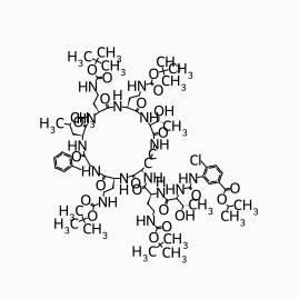 CC(C)C[C@@H]1NC(=O)[C@@H](Cc2ccccc2)NC(=O)[C@H](CCNC(=O)OC(C)(C)C)NC(=O)[C@@H](NC(=O)[C@H](CCNC(=O)OC(C)(C)C)NC(=O)[C@@H](NC(=O)Nc2cc(C(=O)OC(C)C)ccc2Cl)[C@H](C)O)CCNC(=O)[C@H]([C@@H](C)O)NC(=O)[C@H](CCNC(=O)OC(C)(C)C)NC(=O)[C@H](CCNC(=O)OC(C)(C)C)NC1=O